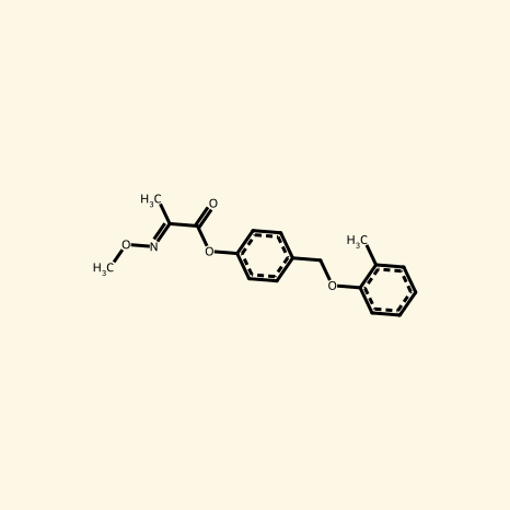 CON=C(C)C(=O)Oc1ccc(COc2ccccc2C)cc1